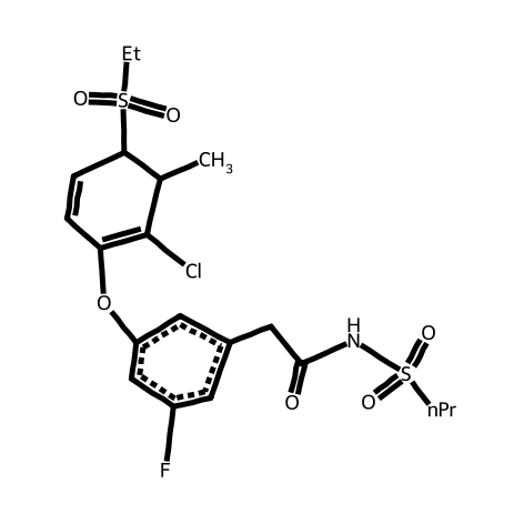 CCCS(=O)(=O)NC(=O)Cc1cc(F)cc(OC2=C(Cl)C(C)C(S(=O)(=O)CC)C=C2)c1